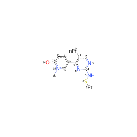 CCCc1cnc(NSCC)nc1-c1ccc(=O)n(C)c1